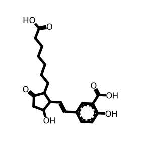 O=C(O)CCCCCCC1C(=O)CC(O)C1/C=C/c1ccc(O)c(C(=O)O)c1